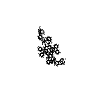 CO[Si](Cc1ccnc(NC(=O)C(c2ccccc2)N2C(=O)c3cc(Oc4ccccc4)c4c5c(Oc6ccccc6)cc6c7c(cc(Oc8ccccc8)c(c8c(Oc9ccccc9)cc(c3c48)C2=O)c75)C(=O)N(C(C(=O)Nc2cc(C[Si](OC)(OC)OC)ccn2)c2ccccc2)C6=O)c1)(OC)OC